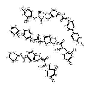 Cc1ccc(-c2ccc(NC(=O)Nc3ccc4c(c3)CN(C(=O)[C@H](N)Cc3ccc(Cl)cc3Cl)C4)cc2)cc1.N[C@H](Cc1ccc(Cl)cc1Cl)C(=O)N1Cc2ccc(NC(=O)Nc3cccc(Oc4ccccc4)c3)cc2C1.N[C@H](Cc1ccc(Cl)cc1Cl)C(=O)N1Cc2ccc(NCC3CCCCC3)cc2C1